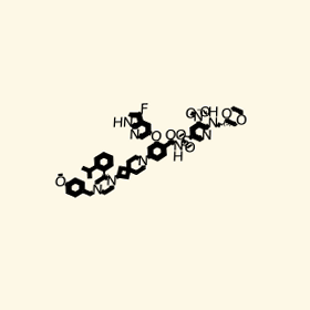 COc1ccc(CN2CCN(C3CC4(CCN(c5ccc(C(=O)NS(=O)(=O)c6cnc(NC[C@H]7COCCO7)c([N+](=O)[O-])c6)c(Oc6cnc7[nH]cc(F)c7c6)c5)CC4)C3)[C@H](c3ccccc3C(C)C)C2)cc1